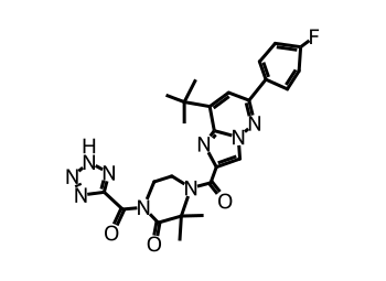 CC(C)(C)c1cc(-c2ccc(F)cc2)nn2cc(C(=O)N3CCN(C(=O)c4nn[nH]n4)C(=O)C3(C)C)nc12